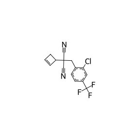 N#CC(C#N)(Cc1ccc(C(F)(F)F)cc1Cl)C1C=CC1